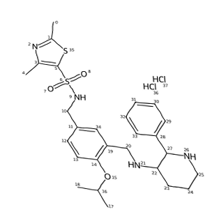 Cc1nc(C)c(S(=O)(=O)NCc2ccc(OC(C)C)c(CNC3CCCNC3c3ccccc3)c2)s1.Cl.Cl